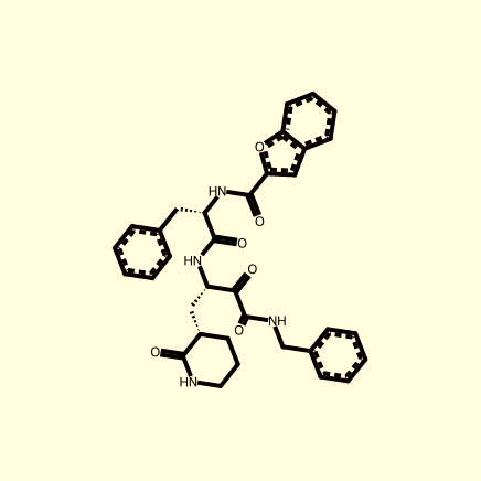 O=C(NCc1ccccc1)C(=O)[C@H](C[C@@H]1CCCNC1=O)NC(=O)[C@H](Cc1ccccc1)NC(=O)c1cc2ccccc2o1